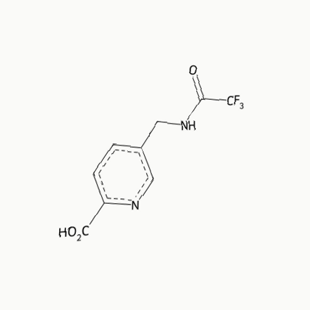 O=C(O)c1ccc(CNC(=O)C(F)(F)F)cn1